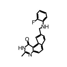 Cc1nc2ccc3ccc(CNc4ccccc4F)cc3c2c(=O)[nH]1